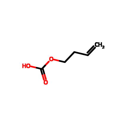 C=CCCOC(=O)O